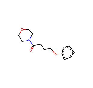 O=C(CCCOc1c[c]ccc1)N1CCOCC1